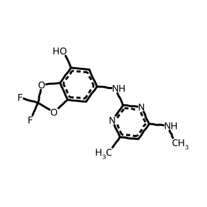 CNc1cc(C)nc(Nc2cc(O)c3c(c2)OC(F)(F)O3)n1